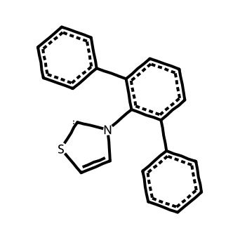 [C]1SC=CN1c1c(-c2ccccc2)cccc1-c1ccccc1